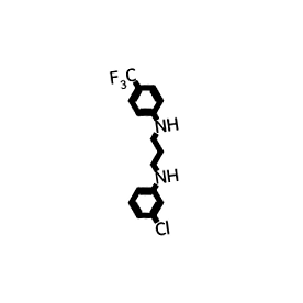 FC(F)(F)c1ccc(NCCCNc2cccc(Cl)c2)cc1